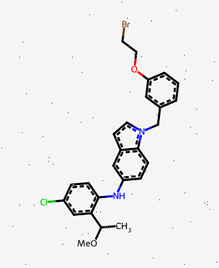 COC(C)c1cc(Cl)ccc1Nc1ccc2c(ccn2Cc2cccc(OCCBr)c2)c1